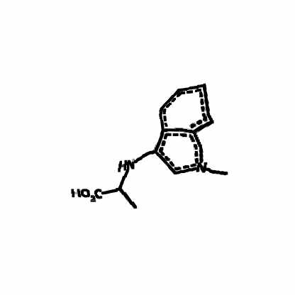 CC(Nc1cn(C)c2ccccc12)C(=O)O